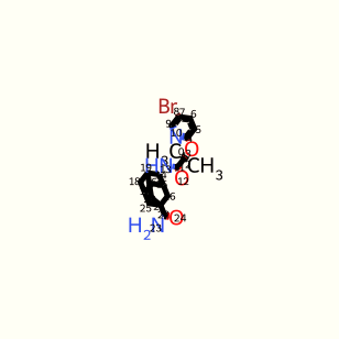 CC(C)(Oc1ccc(Br)cn1)C(=O)NC1C2CC3CC1CC(C(N)=O)(C3)C2